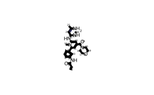 C=CC(=O)Nc1cccc(C2C=C(C(=O)N3CCOCC3)C=C(NC(/C=C(/C)N)NC)N2C)c1